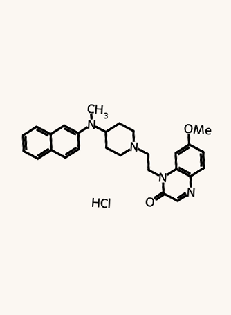 COc1ccc2ncc(=O)n(CCN3CCC(N(C)c4ccc5ccccc5c4)CC3)c2c1.Cl